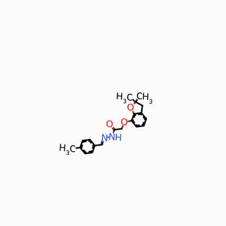 Cc1ccc(/C=N/NC(=O)COc2cccc3c2OC(C)(C)C3)cc1